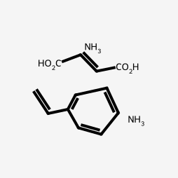 C=Cc1ccccc1.N.N.O=C(O)C=CC(=O)O